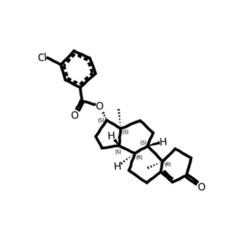 C[C@]12CC[C@H]3[C@@H](CCC4=CC(=O)CC[C@@]43C)[C@@H]1CC[C@@H]2OC(=O)c1cccc(Cl)c1